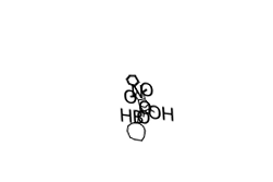 O=C1C2C3OC(C(OBC4CCCCCCCCC4)C3O)C2C(=O)N1c1ccccc1